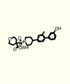 COC(=O)C1(S(=O)(=O)N2CCC(c3ccc(-c4cccc(O)c4)c(C)c3)CC2)CCOCC1